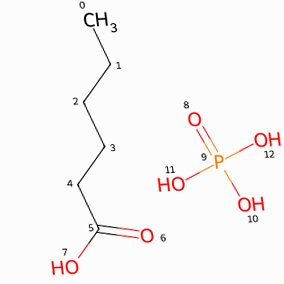 CCCCCC(=O)O.O=P(O)(O)O